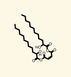 CCCCCCCCCCC(O)C(=O)OC(=O)/C=C\C(=O)OC(=O)C(O)CCCCCCCCCC